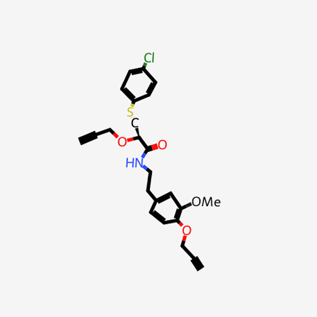 C#CCOc1ccc(CCNC(=O)[C@H](CSc2ccc(Cl)cc2)OCC#C)cc1OC